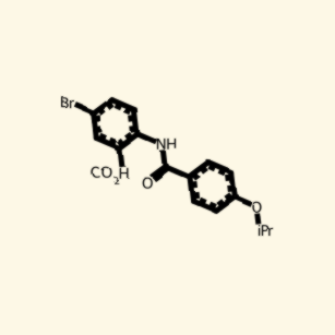 CC(C)Oc1ccc(C(=O)Nc2ccc(Br)cc2C(=O)O)cc1